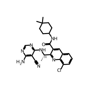 C[C@H](Nc1ncnc(N)c1C#N)c1nc2c(Cl)cccc2cc1C(=O)NC1CCC(C)(C)CC1